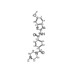 COc1ccc2nc(NC(=O)c3ccc(C(=O)N4CCN(C)CC4)cc3)sc2c1